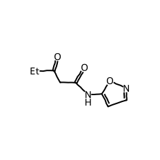 CCC(=O)CC(=O)Nc1ccno1